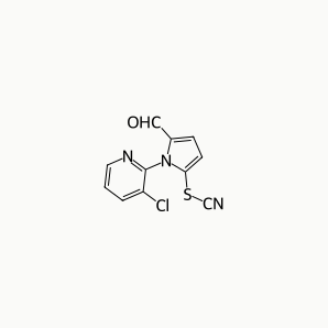 N#CSc1ccc(C=O)n1-c1ncccc1Cl